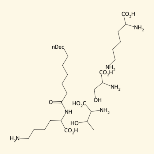 CC(O)C(N)C(=O)O.CCCCCCCCCCCCCCCC(=O)NC(CCCCN)C(=O)O.NC(CO)C(=O)O.NCCCCC(N)C(=O)O